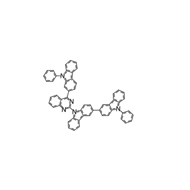 c1ccc(-n2c3ccccc3c3cc(-c4ccc5c(c4)c4ccccc4n5-c4nc(-c5ccc6c7ccccc7n(-c7ccccc7)c6c5)c5ccccc5n4)ccc32)cc1